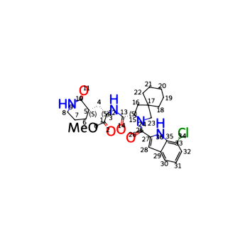 COC(=O)[C@H](C[C@@H]1CCCNC1=O)NC(=O)[C@@H]1CC2(CCCCC2)CN1C(=O)c1cc2cccc(Cl)c2[nH]1